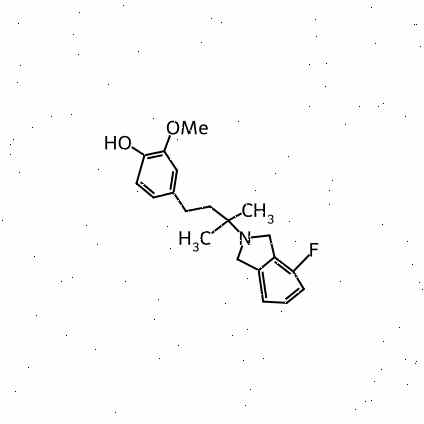 COc1cc(CCC(C)(C)N2Cc3cccc(F)c3C2)ccc1O